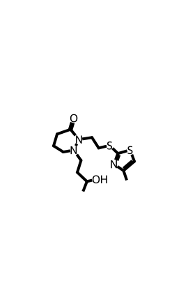 Cc1csc(SCCN2C(=O)CCCN2CCC(C)O)n1